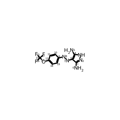 Nc1n[nH]c(N)c1N=Nc1ccc(OC(F)(F)F)cc1